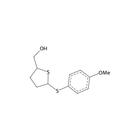 COc1ccc(SC2CCC(CO)S2)cc1